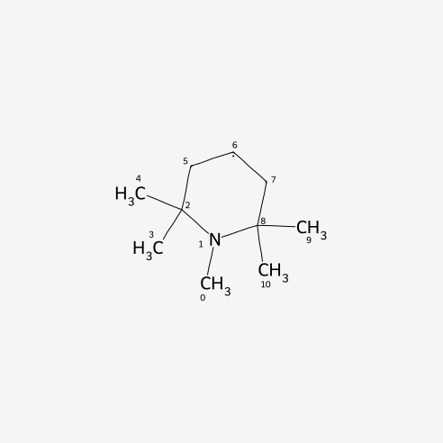 CN1C(C)(C)C[CH]CC1(C)C